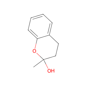 CC1(O)CCc2ccccc2O1